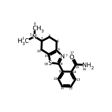 CN(C)C1CCc2nc(-c3ccccc3C(N)=O)sc2C1